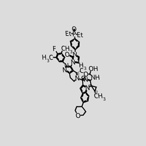 CCP(=O)(CC)c1ccc(-n2ccn(-c3c4c(nn3-c3cc(C)c(F)c(C)c3)CCN(C(=O)c3cc5cc(C6CCOCC6)ccc5n3[C@@]3(C5=NOC(O)N5)C[C@@H]3C)[C@H]4C)c2=O)cc1